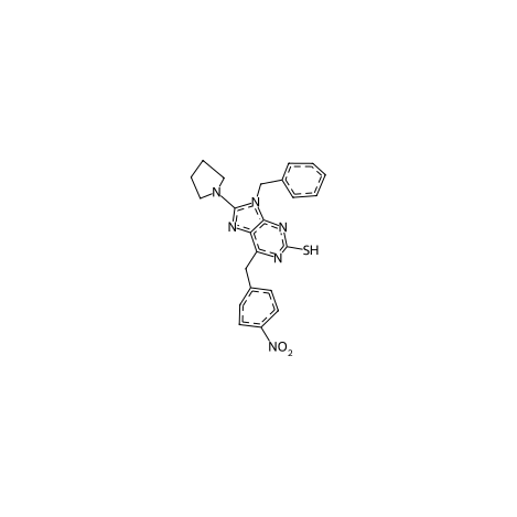 O=[N+]([O-])c1ccc(Cc2nc(S)nc3c2nc(N2CCCC2)n3Cc2ccccc2)cc1